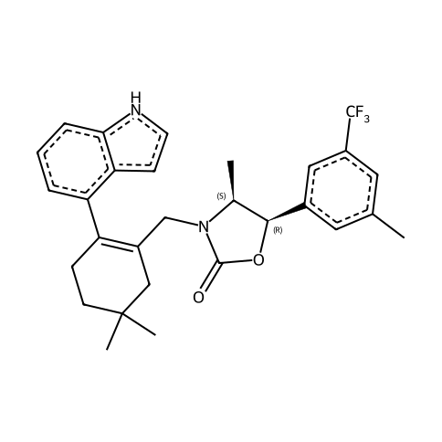 Cc1cc([C@H]2OC(=O)N(CC3=C(c4cccc5[nH]ccc45)CCC(C)(C)C3)[C@H]2C)cc(C(F)(F)F)c1